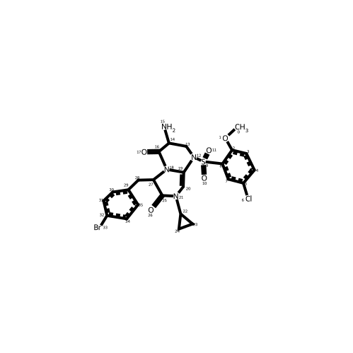 COc1ccc(Cl)cc1S(=O)(=O)N1CC(N)C(=O)N2C1=CN(C1CC1)C(=O)C2Cc1ccc(Br)cc1